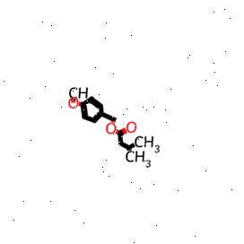 COc1ccc(COC(=O)CC(C)C)cc1